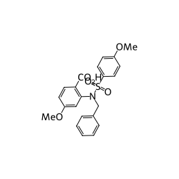 COc1ccc(S(=O)(=O)N(Cc2ccccc2)c2cc(OC)ccc2C(=O)O)cc1